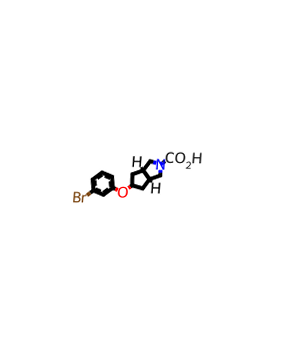 O=C(O)N1C[C@H]2CC(Oc3cccc(Br)c3)C[C@H]2C1